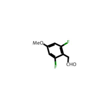 COc1cc(F)c(CC=O)c(F)c1